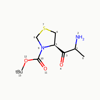 CC(N)C(=O)[C@@H]1CSCN1C(=O)OC(C)(C)C